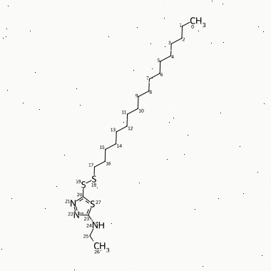 CCCCCCCCCCCCCCCCCCSSc1nnc(NCC)s1